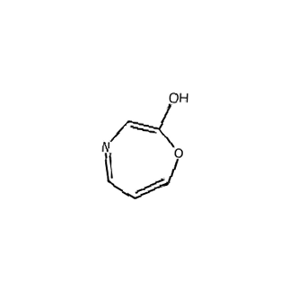 OC1=CN=CC=CO1